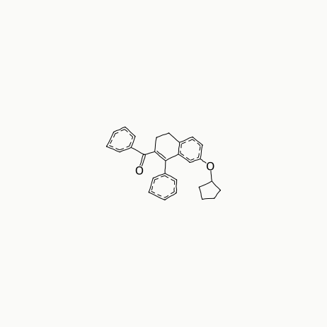 O=C(C1=C(c2ccccc2)c2cc(OC3CCCC3)ccc2CC1)c1ccccc1